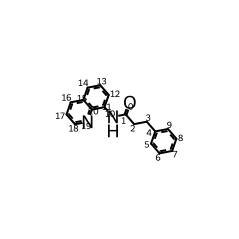 O=C(CCc1ccccc1)Nc1cccc2cccnc12